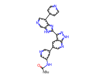 CCCCC(=O)Nc1cncc(-c2cnc3[nH]nc(-c4nc5c(-c6ccncc6)cncc5[nH]4)c3c2)c1